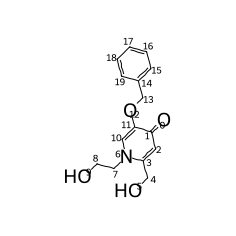 O=c1cc(CO)n(CCO)cc1OCc1ccccc1